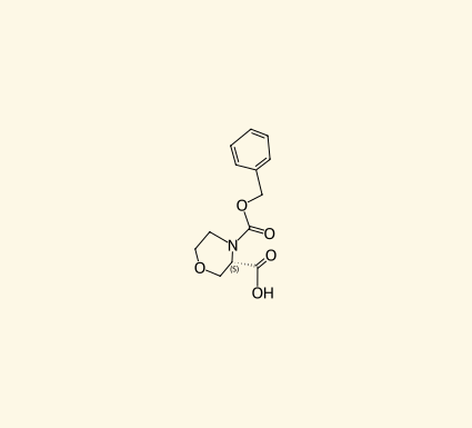 O=C(O)[C@@H]1COCCN1C(=O)OCc1ccccc1